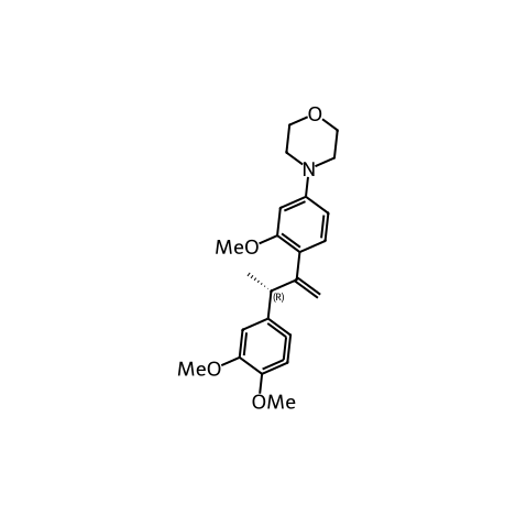 C=C(c1ccc(N2CCOCC2)cc1OC)[C@@H](C)C1=C=C=C(OC)C(OC)=C1